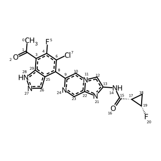 CC(=O)c1c(F)c(Cl)c(-c2cn3cc(NC(=O)[C@@H]4C[C@@H]4F)nc3cn2)c2cn[nH]c12